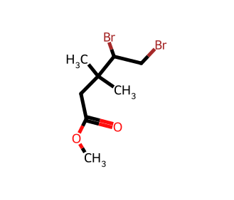 COC(=O)CC(C)(C)C(Br)CBr